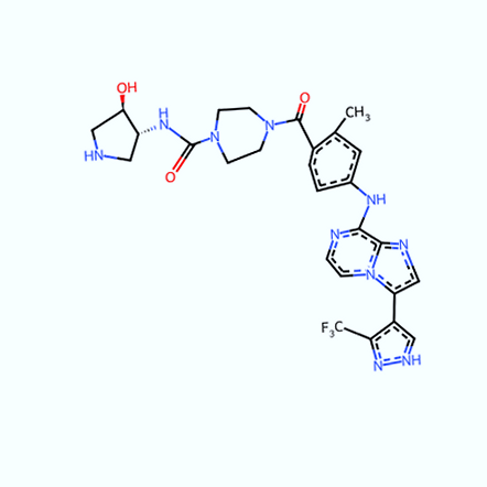 Cc1cc(Nc2nccn3c(-c4c[nH]nc4C(F)(F)F)cnc23)ccc1C(=O)N1CCN(C(=O)N[C@@H]2CNC[C@H]2O)CC1